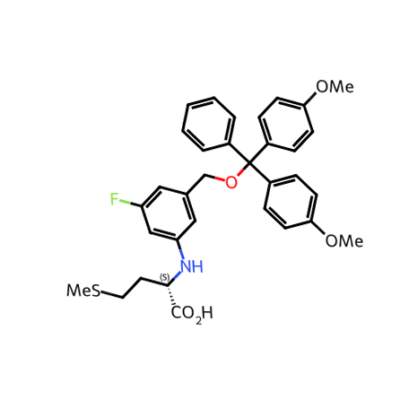 COc1ccc(C(OCc2cc(F)cc(N[C@@H](CCSC)C(=O)O)c2)(c2ccccc2)c2ccc(OC)cc2)cc1